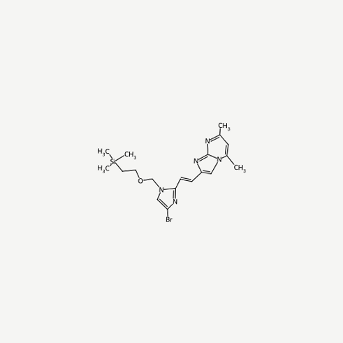 Cc1cc(C)n2cc(C=Cc3nc(Br)cn3COCC[Si](C)(C)C)nc2n1